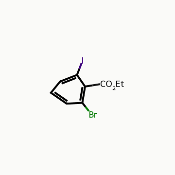 CCOC(=O)c1c(Br)cccc1I